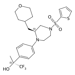 C[C@](O)(c1ccc(N2CCN(S(=O)(=O)c3cccs3)C[C@@H]2CC2CCOCC2)cc1)C(F)(F)F